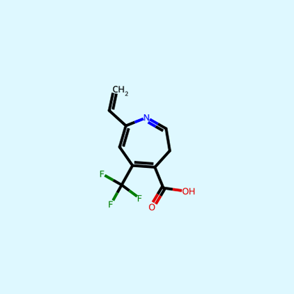 C=CC1=CC(C(F)(F)F)=C(C(=O)O)CC=N1